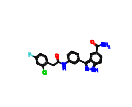 NC(=O)c1ccc2[nH]nc(-c3cccc(NC(=O)Cc4ccc(F)cc4Cl)c3)c2c1